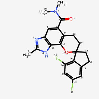 Cc1nc2cc(C(=O)N(C)C)c3c(c2[nH]1)OC1(CCc2cc(F)cc(F)c21)CC3